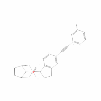 O=C(O)C1C2CCC1CN(C1CCc3cc(C#Cc4cccc(F)c4)ccc31)C2